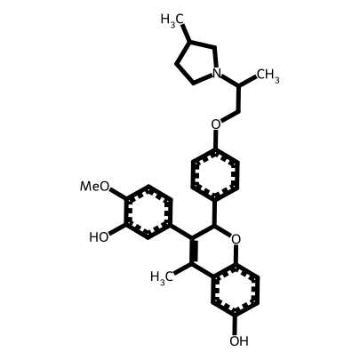 COc1ccc(C2=C(C)c3cc(O)ccc3OC2c2ccc(OCC(C)N3CCC(C)C3)cc2)cc1O